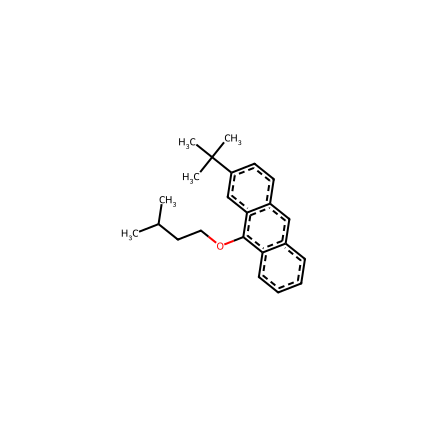 CC(C)CCOc1c2ccccc2cc2ccc(C(C)(C)C)cc12